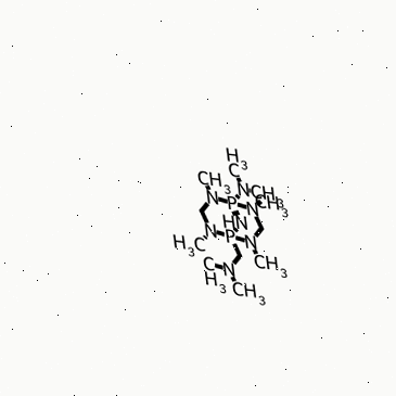 CN(C)C[PH]12N=P(N(C)C)(N(C)CN1C)N(C)CN2C